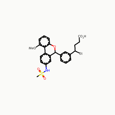 CCC(CCC(=O)O)c1cccc(C2Oc3cccc(OC)c3-c3ccc(NS(C)(=O)=O)cc32)c1